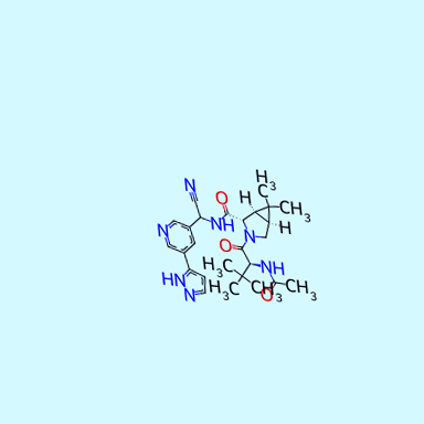 CC(=O)N[C@H](C(=O)N1C[C@H]2[C@@H]([C@H]1C(=O)NC(C#N)c1cncc(-c3ccn[nH]3)c1)C2(C)C)C(C)(C)C